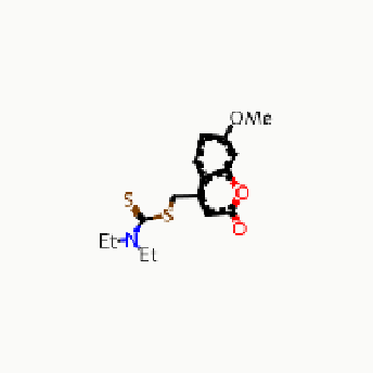 CCN(CC)C(=S)SCc1cc(=O)oc2cc(OC)ccc12